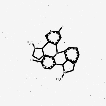 CN1CCCC1c1cnc(Cl)cc1P(c1ccccc1)c1cc(Cl)ncc1C1CCCN1C